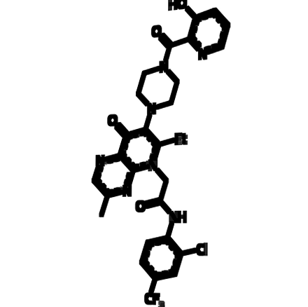 CCc1c(N2CCN(C(=O)c3ncccc3O)CC2)c(=O)c2ncc(C)nc2n1CC(=O)Nc1ccc(C(F)(F)F)cc1Cl